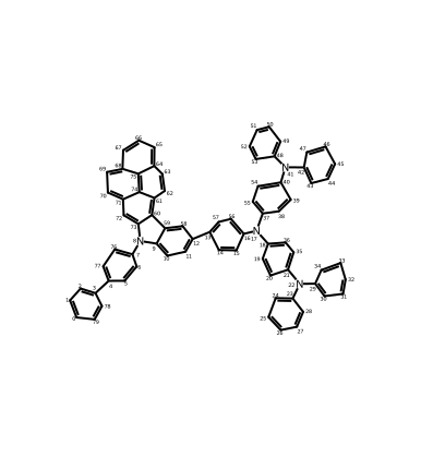 c1ccc(-c2ccc(-n3c4ccc(-c5ccc(N(c6ccc(N(c7ccccc7)c7ccccc7)cc6)c6ccc(N(c7ccccc7)c7ccccc7)cc6)cc5)cc4c4c5ccc6cccc7ccc(cc43)c5c76)cc2)cc1